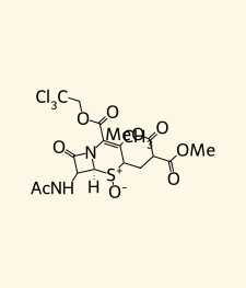 COC(=O)C(CC1C(C)=C(C(=O)OCC(Cl)(Cl)Cl)N2C(=O)C(NC(C)=O)[C@@H]2[S+]1[O-])C(=O)OC